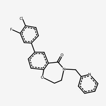 O=C1c2cc(-c3ccc(Cl)c(F)c3)ccc2OCCN1Cc1ccccn1